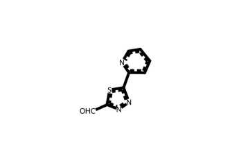 O=Cc1nnc(-c2ccccn2)s1